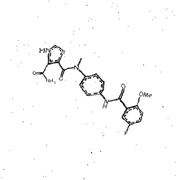 COc1ccc(F)cc1C(=O)Nc1ccc(N(C)C(=O)c2nc[nH]c2C(N)=O)cc1